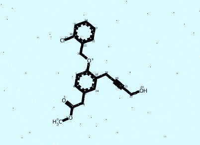 COC(=O)Cc1ccc(OCc2ccccc2Cl)c(CC#CCO)c1